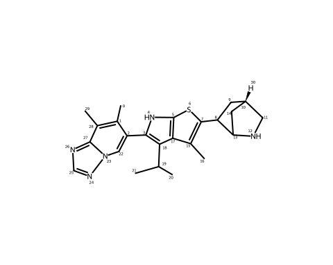 Cc1c(-c2[nH]c3sc(C4C[C@@H]5CNC4C5)c(C)c3c2C(C)C)cn2ncnc2c1C